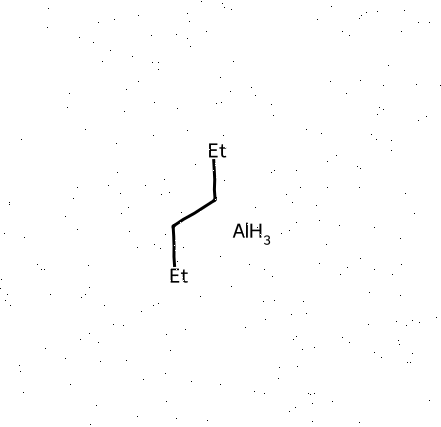 [AlH3].[CH2]CCCCC